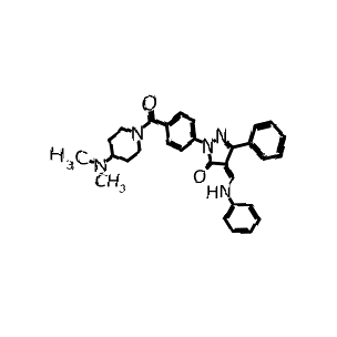 CN(C)C1CCN(C(=O)c2ccc(N3N=C(c4ccccc4)C(=CNc4ccccc4)C3=O)cc2)CC1